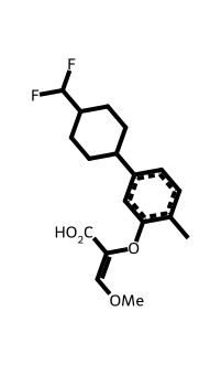 CO/C=C(\Oc1cc(C2CCC(C(F)F)CC2)ccc1C)C(=O)O